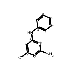 Nc1nc(Cl)cc(Nc2ccccc2)n1